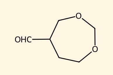 O=CC1CCOCOC1